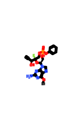 C#C[C@H](O)[C@@](F)(CO[PH](=O)Oc1ccccc1)O[C@H](CO)n1cnc2c(OCC)nc(N)nc21